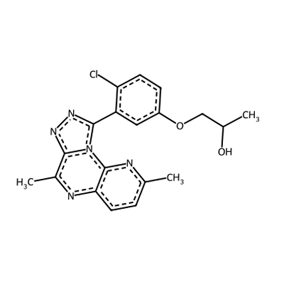 Cc1ccc2nc(C)c3nnc(-c4cc(OCC(C)O)ccc4Cl)n3c2n1